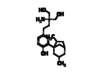 CC1CC2CC(C)C(c3cc(CCC(N)(CO)CO)ccc3O)(C1)C2